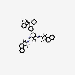 CCCC[B-](c1ccccc1)(c1ccccc1)c1ccccc1.CN1/C(=C\C=C2\CCCC(/C=C/C3=[N+](C)c4ccc5ccccc5c4C3(C)C)=C2Cl)C(C)(C)c2c1ccc1ccccc21